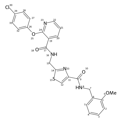 COc1ccccc1CNC(=O)c1csc(CNC(=O)c2cccnc2Oc2ccc(Cl)cc2)n1